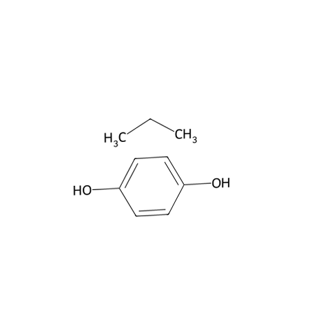 CCC.Oc1ccc(O)cc1